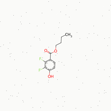 CCCCOC(=O)c1ccc(O)c(F)c1F